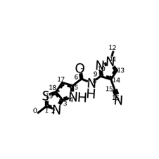 Cc1nc2[nH]c(C(=O)Nc3nn(C)cc3C#N)cc2s1